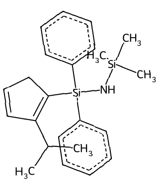 CC(C)C1=C([Si](N[Si](C)(C)C)(c2ccccc2)c2ccccc2)CC=C1